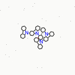 c1ccc(-n2c3ccccc3c3cc(-n4c5ccccc5c5ccccc54)ccc32)c(-c2ccccc2-n2c3ccccc3c3ccc(-n4c5ccccc5c5ccccc54)cc32)c1